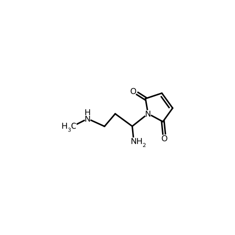 CNCCC(N)N1C(=O)C=CC1=O